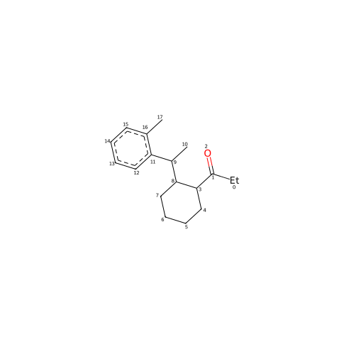 CCC(=O)C1CCCCC1C(C)c1ccccc1C